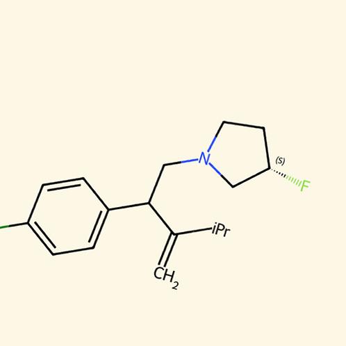 C=C(C(C)C)C(CN1CC[C@H](F)C1)c1ccc(Cl)cc1